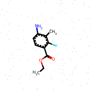 CCOC(=O)c1ccc(N)c(C)c1F